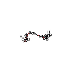 CC(Oc1cc(-c2cnn(C3CCN(CCCCCCN4CC(Nc5cccc6c5C(=O)N(C5CCC(=O)NC5=O)C6=O)C4)CC3)c2)cnc1N)c1c(Cl)ccc(F)c1Cl